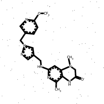 Cc1nc(NCc2cnn(Cc3ccc(OC(F)(F)F)nc3)c2)cc2c1NC(=O)CN2C